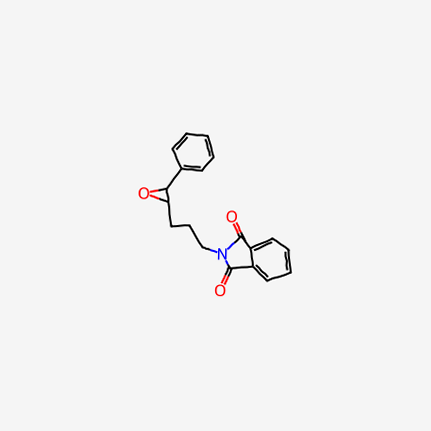 O=C1c2ccccc2C(=O)N1CCCC1OC1c1ccccc1